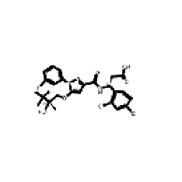 CC(C)(C)[C@@](C)(O)COc1cc(C(=O)N[C@@H](CC(=O)O)c2ccc(Cl)cc2Cl)nn1-c1cccc(F)c1